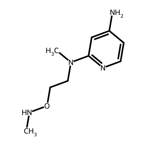 CNOCCN(C)c1cc(N)ccn1